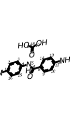 Nc1ccc(NC(=O)c2ccc(N)cc2)cc1.O=C(O)O